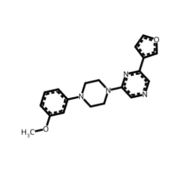 COc1cccc(N2CCN(c3cncc(-c4ccoc4)n3)CC2)c1